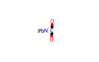 O=C=O.[N].[Pb]